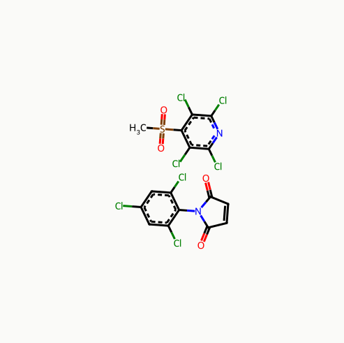 CS(=O)(=O)c1c(Cl)c(Cl)nc(Cl)c1Cl.O=C1C=CC(=O)N1c1c(Cl)cc(Cl)cc1Cl